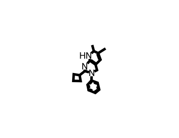 CC1=CC2=C(N=C(C3CCC3)N(c3ccccc3)C2)NC1C